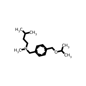 CC(C)CCN(C)Cc1ccc(COC(C)C)cc1